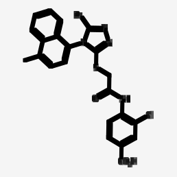 Cc1ccc(-n2c(Br)nnc2SCC(=O)Nc2ccc(C(=O)O)cc2Cl)c2ccccc12